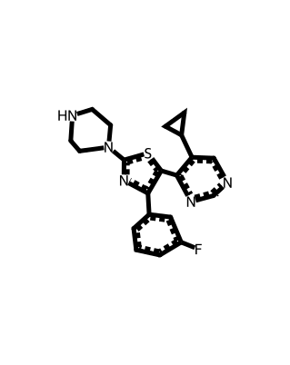 Fc1cccc(-c2nc(N3CCNCC3)sc2-c2n[c]ncc2C2CC2)c1